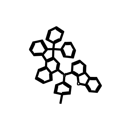 Cc1ccc(N(c2cc3c(c4ccccc24)-c2ccccc2C3(c2ccccc2)c2ccccc2)c2cccc3c2oc2ccccc23)cc1